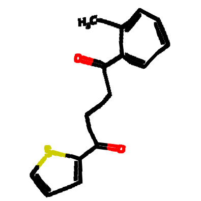 Cc1ccccc1C(=O)CCC(=O)c1cccs1